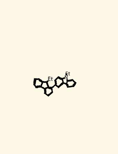 CCC1c2ccccc2-c2cccc(-c3ccc4c(c3)c3ccccc3n4CC)c21